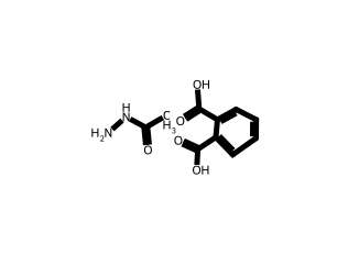 CC(=O)NN.O=C(O)c1ccccc1C(=O)O